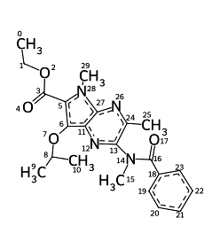 CCOC(=O)c1c(OC(C)C)c2nc(N(C)C(=O)c3ccccc3)c(C)nc2n1C